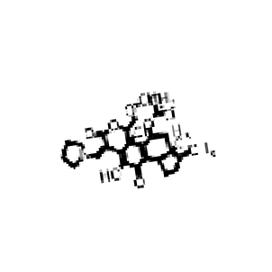 COCC1OC(=O)C(=CN2CCCC2)C2=C(O)C(=O)C3=C(C(OC(C)=O)CC4(C)C(C)CCC34)C21C